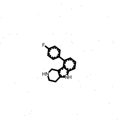 Fc1ccc(-c2cccc3[nH]c4c(c23)CNCC4)cc1